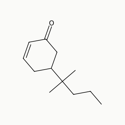 CCCC(C)(C)C1CC=CC(=O)C1